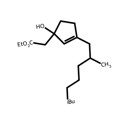 CCOC(=O)CC1(O)C=C(CC(C)CCCC(C)CC)CC1